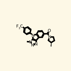 C[C@@H]1CCN(C(=O)c2ccc3c(c2)c2nnn(C)c2n3-c2ccc(C(F)(F)F)cc2)C1